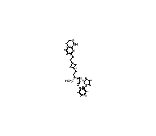 O=C(O)[C@H](CCN1CC(CCc2ccc3c(n2)NCCC3)C1)NC(=O)[C@@H]1CCCN1c1ccccc1